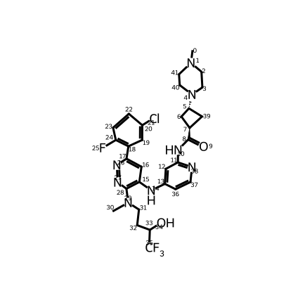 CN1CCN([C@H]2C[C@H](C(=O)Nc3cc(Nc4cc(-c5cc(Cl)ccc5F)nnc4N(C)CCC(O)C(F)(F)F)ccn3)C2)CC1